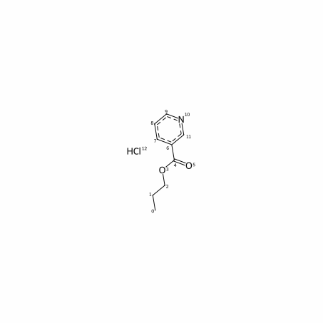 CCCOC(=O)c1cccnc1.Cl